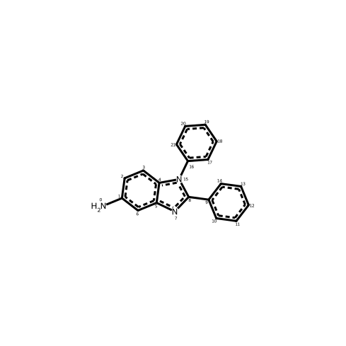 Nc1ccc2c(c1)nc(-c1ccccc1)n2-c1ccccc1